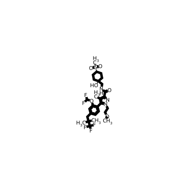 COCCn1nc(C(=O)NC[C@]2(O)CC[C@@H](S(C)(=O)=O)CC2)c(C)c1-c1ccc(CC(C)(C)C(F)(F)F)cc1OC(F)F